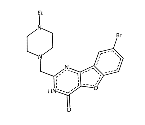 CCN1CCN(Cc2nc3c(oc4ccc(Br)cc43)c(=O)[nH]2)CC1